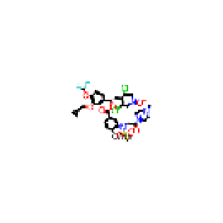 COc1ccc(C(=O)O[C@@H](Cc2c(Cl)c[n+]([O-])cc2Cl)c2ccc(OC(F)F)c(OCC3CC3)c2)cc1N(CC(=O)N1CCN(C)CC1)S(C)(=O)=O